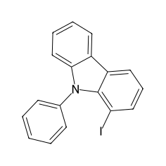 Ic1cccc2c3ccccc3n(-c3ccccc3)c12